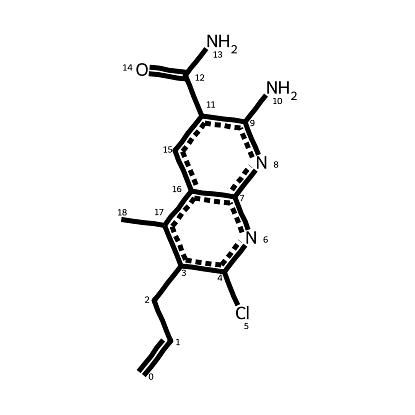 C=CCc1c(Cl)nc2nc(N)c(C(N)=O)cc2c1C